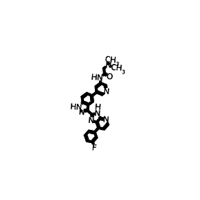 CN(C)CC(=O)Nc1cncc(-c2ccc3[nH]nc(-c4nc5c(-c6cccc(F)c6)ccnc5[nH]4)c3c2)c1